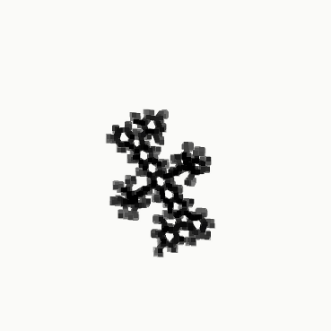 Cc1cc(C)c(C2c3ccccc3-c3cc4cc5c(C#C[Si](C(C)C)(C(C)C)C(C)C)c6cc7cc8c(cc7cc6c(C#C[Si](C(C)C)(C(C)C)C(C)C)c5cc4cc32)-c2ccccc2C8c2c(C)cc(C)cc2C)c(C)c1